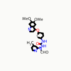 COc1cc2nccc(Oc3ccc(NC(=O)NN(C=O)c4cc(C)ccn4)cc3)c2cc1OC